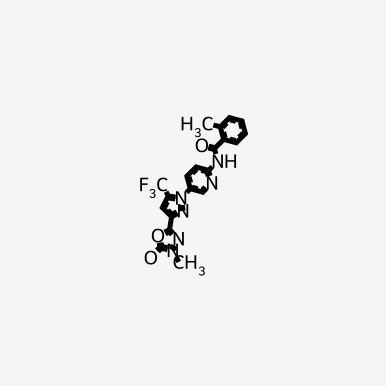 Cc1ccccc1C(=O)Nc1ccc(-n2nc(-c3nn(C)c(=O)o3)cc2C(F)(F)F)cn1